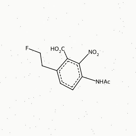 CC(=O)Nc1ccc(CCF)c(C(=O)O)c1[N+](=O)[O-]